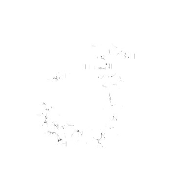 Cc1ccc(N)cc1C(=O)N[C@H](C)c1ccc(C#CC2CCN(CC3CCN(C(=O)C4CCN(c5ccc6c(c5)n(C)c(=O)n6C5CCC(=O)NC5=O)CC4)CC3)CC2)c2ccccc12.O=CO